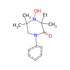 CCC1(C)C(=O)N(c2ccccc2)CC(C)(C)N1O